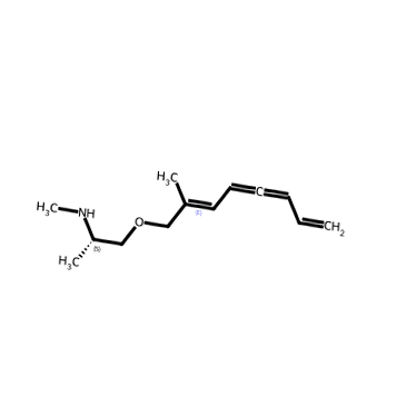 C=CC=C=C/C=C(\C)COC[C@H](C)NC